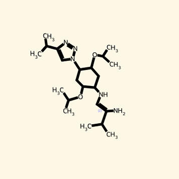 CC(C)OC1CC(n2cc(C(C)C)nn2)C(OC(C)C)CC1N/C=C(\N)C(C)C